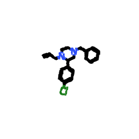 C=CCN1CCN(Cc2ccccc2)CC1c1ccc(Cl)cc1